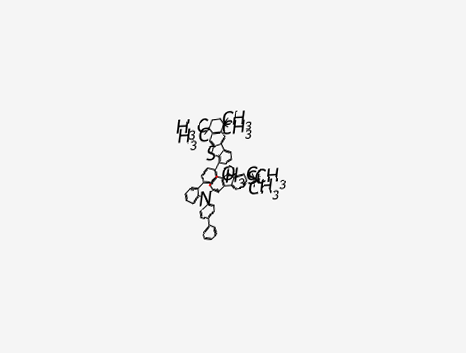 CC1(C)CCC(C)(C)c2cc3c(cc21)sc1c(-c2ccc(-c4ccccc4N(c4ccc(-c5ccccc5)cc4)c4ccc5oc6cc([Si](C)(C)C)ccc6c5c4)cc2)cccc13